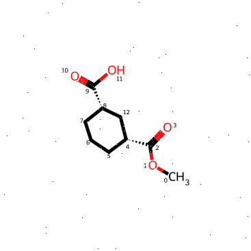 COC(=O)[C@@H]1CCC[C@H](C(=O)O)C1